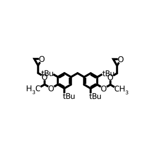 CC(OCC1CO1)Oc1c(C(C)(C)C)cc(Cc2cc(C(C)(C)C)c(OC(C)OCC3CO3)c(C(C)(C)C)c2)cc1C(C)(C)C